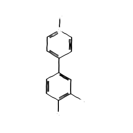 Nc1ccc(-c2cc[n+](O)cc2)cc1Br